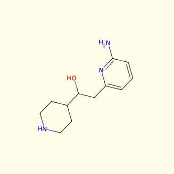 Nc1cccc(CC(O)C2CCNCC2)n1